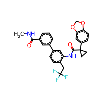 CNC(=O)c1cccc(-c2ccc(CC(F)(F)F)c(NC(=O)C3(c4ccc5c(c4)OCO5)CC3)c2)c1